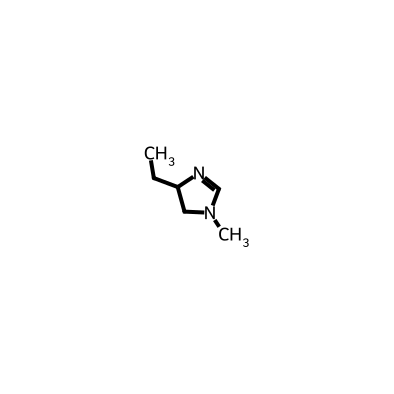 CCC1CN(C)C=N1